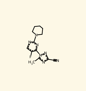 Cc1nc(C#N)nn1-c1nc(N2CCCCC2)ncc1F